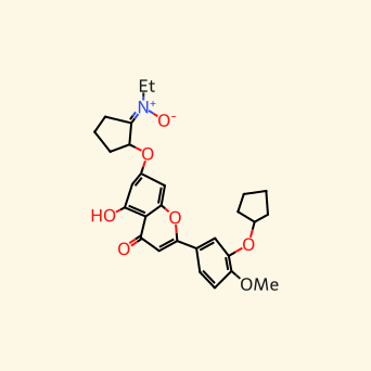 CC[N+]([O-])=C1CCCC1Oc1cc(O)c2c(=O)cc(-c3ccc(OC)c(OC4CCCC4)c3)oc2c1